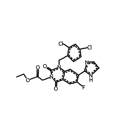 CCOC(=O)Cn1c(=O)c2cc(F)c(-c3ncc[nH]3)cc2n(Cc2ccc(Cl)cc2Cl)c1=O